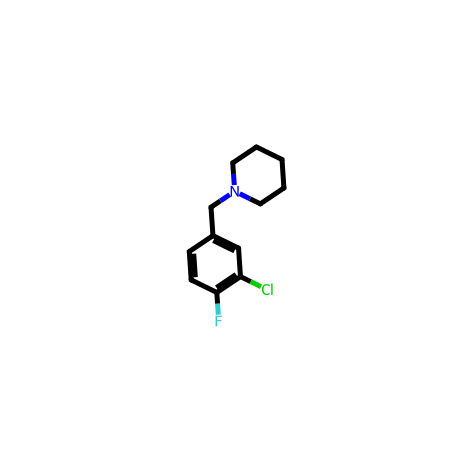 Fc1ccc(CN2CCCCC2)cc1Cl